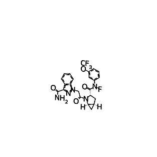 NC(=O)c1nn(CC(=O)N2[C@@H]3C[C@@H]3C[C@H]2C(=O)N(F)c2cccc(OC(F)(F)F)c2)c2ccccc12